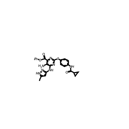 Cc1cc(Nc2nc(Sc3ccc(NC(=O)C4CC4)cc3)nc(C(=O)OC(C)C)c2N)n[nH]1